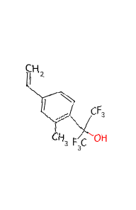 C=Cc1ccc(C(O)(C(F)(F)F)C(F)(F)F)c(C)c1